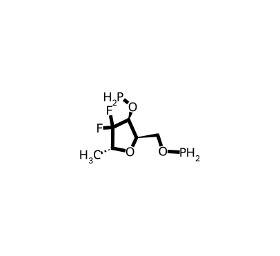 C[C@H]1O[C@H](COP)[C@H](OP)C1(F)F